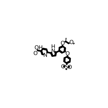 COC[C@H](C)Oc1cc(Oc2ccc(S(C)(=O)=O)cc2)cc(-c2ccc(-c3ccc(C(=O)O)cn3)[nH]2)c1